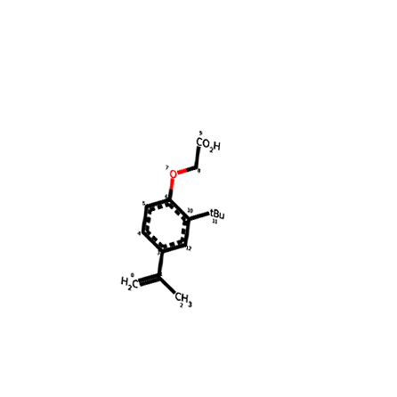 C=C(C)c1ccc(OCC(=O)O)c(C(C)(C)C)c1